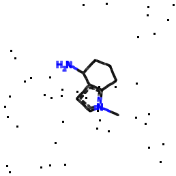 Cn1ccc2c1CCCC2N